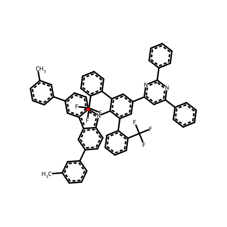 Cc1cccc(-c2ccc3c(c2)c2cc(-c4cccc(C)c4)ccc2n3-c2c(-c3ccccc3C(F)(F)F)cc(-c3cc(-c4ccccc4)nc(-c4ccccc4)n3)cc2-c2ccccc2C(F)(F)F)c1